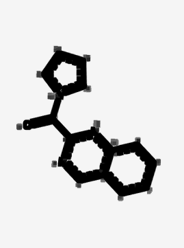 O=C(c1ncc2ccccc2n1)n1cccc1